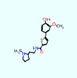 COc1cc(-c2ccc(C(=O)NCCC3CCCN3C)s2)ccc1O